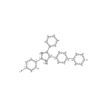 Ic1ccc(-c2nc(-c3ccccc3)c(-c3ccc(-c4ccccc4)cc3)[nH]2)cc1